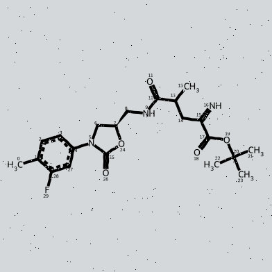 Cc1ccc(N2C[C@@H](CNC(=O)C(C)CC(=N)C(=O)OC(C)(C)C)OC2=O)cc1F